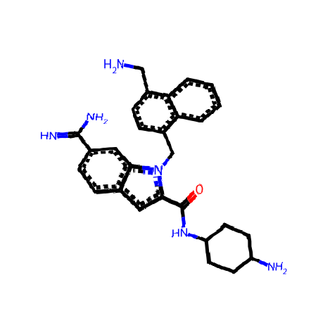 N=C(N)c1ccc2cc(C(=O)NC3CCC(N)CC3)n(Cc3ccc(CN)c4ccccc34)c2c1